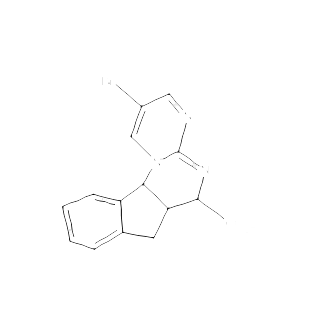 CCOC(=O)C1N=C2N=CC(Br)=CN2C2c3ccccc3CC12